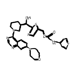 O=C(Nc1ccncc1)OCc1cnc(C(O)C2CCCN(c3ncnc4cc(N5CCOCC5)ccc34)C2)s1